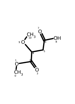 COC(=O)C(CC(=O)O)OC